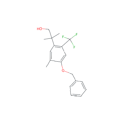 Cc1cc(C(C)(C)CO)c(C(F)(F)F)cc1OCc1ccccc1